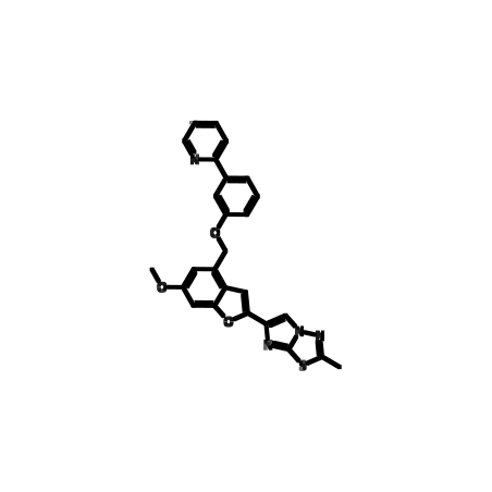 COc1cc(COc2cccc(-c3cc[c]cn3)c2)c2cc(-c3cn4nc(C)sc4n3)oc2c1